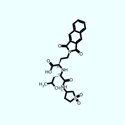 CC(C)C[C@H](N[C@H](CCN1C(=O)c2cc3ccccc3cc2C1=O)C(=O)O)C(=O)NC1CCS(=O)(=O)C1